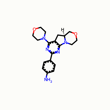 Nc1ccc(-c2nc(N3CCOCC3)c3c(n2)N2CCOC[C@@H]2C3)cc1